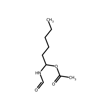 CCCCCC(NC=O)OC(C)=O